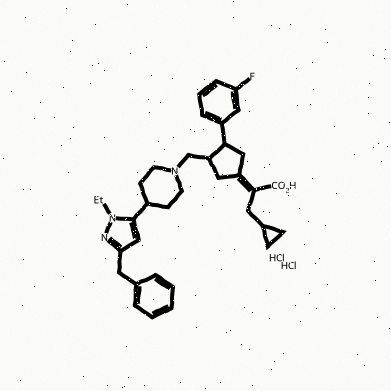 CCn1nc(Cc2ccccc2)cc1C1CCN(CC2C/C(=C(\CC3CC3)C(=O)O)CC2c2cccc(F)c2)CC1.Cl.Cl